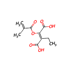 C=C(C)C(=O)OC(C(=O)O)=C(CC)C(=O)O